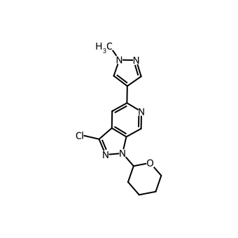 Cn1cc(-c2cc3c(Cl)nn(C4CCCCO4)c3cn2)cn1